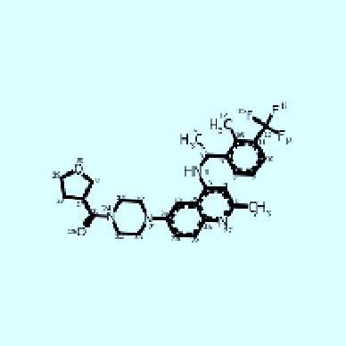 Cc1cc(N[C@H](C)c2cccc(C(F)(F)F)c2C)c2cc(N3CCN(C(=O)C4CCOC4)CC3)ccc2n1